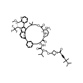 CO[C@@H](C)c1ncccc1-c1c2c3nc(ccc3n1CC(F)(F)F)-c1cccc(c1)C[C@H](NC(=O)[C@@H](COC1CN(C(=O)C#CC(C)(C)N(C)C)C1)C(C)C)C(=O)N1CCC[C@@]([SiH3])(N1)C(=O)OCC(C)(C)C2